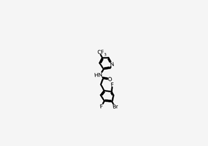 O=C(Cc1cc(F)c(Br)cc1F)Nc1cncc(C(F)(F)F)c1